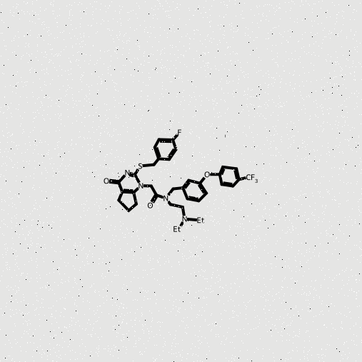 CCN(CC)CCN(Cc1cccc(Oc2ccc(C(F)(F)F)cc2)c1)C(=O)Cn1c(SCc2ccc(F)cc2)nc(=O)c2c1CCC2